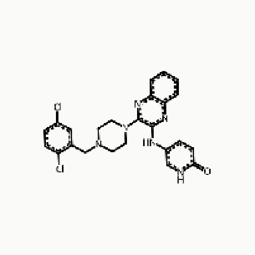 O=c1ccc(Nc2nc3ccccc3nc2N2CCN(Cc3cc(Cl)ccc3Cl)CC2)c[nH]1